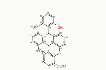 CCCCCCCCCCc1ccccc1Cc1ccc(O)c(Cc2ccccc2CCCCCCCCCC)c1Cc1ccccc1CCCCCCCCCC